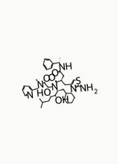 CC(C)C[C@H](O)[C@H](O)[C@H](CC1CCCCC1)N(CC(=O)N(C)Cc1ccccn1)C(=O)[C@@H](CC(=O)N[C@@H](C)c1ccccc1)Cc1csc(N)n1